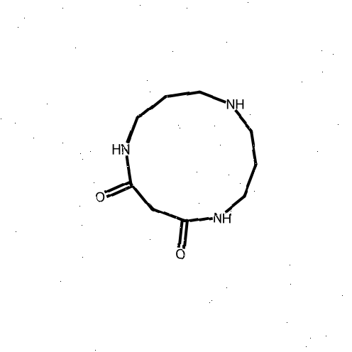 O=C1CC(=O)NCCCNCCCN1